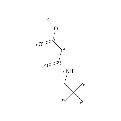 COC(=O)CC(=O)NCC(C)(C)C